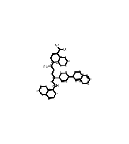 CCC(CC)C1CCC(C(C)CCC(CNC2CCCC3CCCCC32)C2CCC(C3C=C4CCC=CC4CC3)CC2)C2CCCCC12